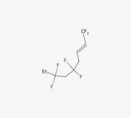 CCC(F)(F)CC(F)(F)C/C=C/C(F)(F)F